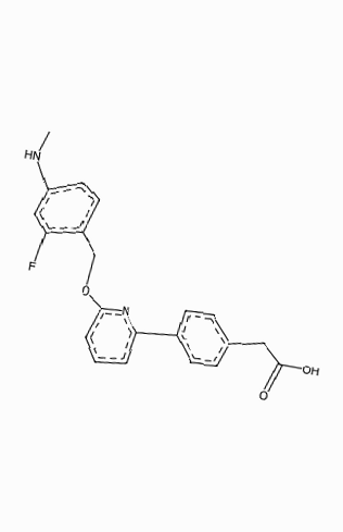 CNc1ccc(COc2cccc(-c3ccc(CC(=O)O)cc3)n2)c(F)c1